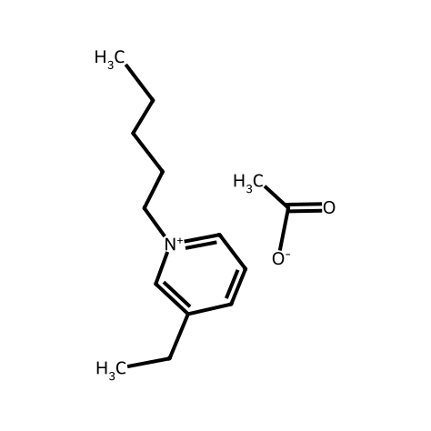 CC(=O)[O-].CCCCC[n+]1cccc(CC)c1